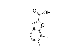 Cc1ccc2cc(C(=O)O)oc2c1C